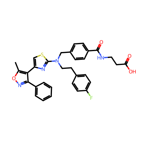 Cc1onc(-c2ccccc2)c1-c1csc(N(CCc2ccc(F)cc2)Cc2ccc(C(=O)NCCC(=O)O)cc2)n1